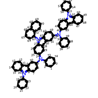 c1ccc(N(c2ccc3c(c2)c2ccccc2n3-c2ccccc2)c2ccc3c(c2)c2cc(N(c4ccccc4)c4ccc5c(c4)c4ccccc4n5-c4ccccc4)ccc2n3-c2cccc3ccccc23)cc1